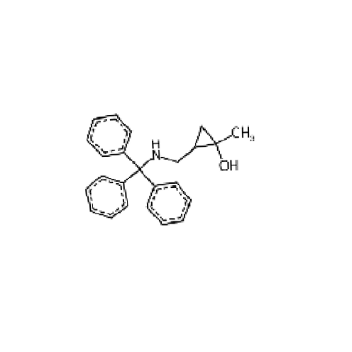 CC1(O)CC1CNC(c1ccccc1)(c1ccccc1)c1ccccc1